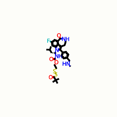 CNCc1ccc(-c2c3c4c(cc(F)cc4n2[C@@H](CC(C)C)NC(=O)OCCSSC(=O)C(C)(C)C)C(=O)NCC3)cc1